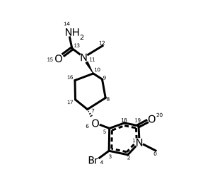 Cn1cc(Br)c(O[C@H]2CC[C@H](N(C)C(N)=O)CC2)cc1=O